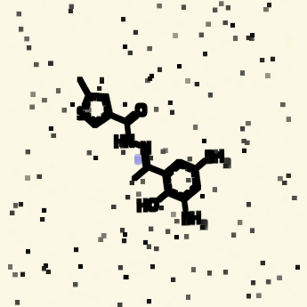 Bc1cc(B)c(O)c(/C(C)=N/NC(=O)c2csc(C)c2)c1